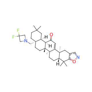 CC1(C)CC[C@]2(CN3CC(F)(F)C3)CC[C@]3(C)[C@H](C(=O)C=C4[C@@]5(C)Cc6cnoc6C(C)(C)[C@@H]5CC[C@]43C)[C@@H]2C1